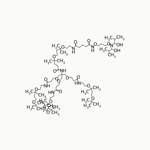 CC(C)C(O)N(OCCCONC(=O)CCCC(=O)NCCOC(C)(C)CCOC(C)(C)CCC(=O)NC(COCCC(=O)NCCOC(C)(C)CCOC(C)(C)C)(COCCC(=O)NCCOC(C)(C)CCOC(C)(C)C)COCCC(=O)NCCOC(C)(C)CCOC(C)(C)C)C(O)C(C)C